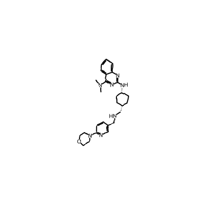 CN(C)c1nc(N[C@H]2CC[C@@H](CNCc3ccc(N4CCOCC4)nc3)CC2)nc2ccccc12